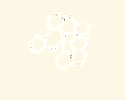 Cc1ccccc1N1c2ccccc2-c2ccccc2O[Si]1(c1ccccc1)c1cccc2ccccc12